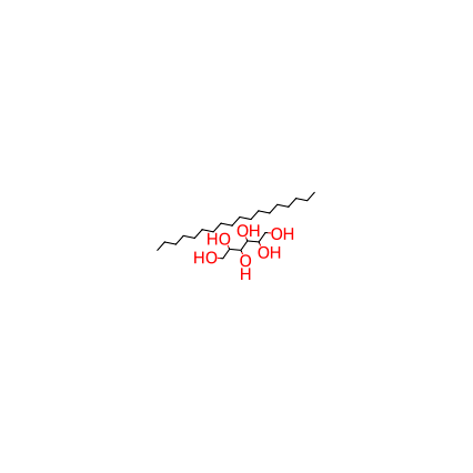 CCCCCCCCCCCCCCCCCC.OCC(O)C(O)C(O)C(O)CO